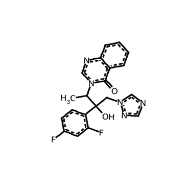 CC(n1cnc2ccccc2c1=O)C(O)(Cn1cncn1)c1ccc(F)cc1F